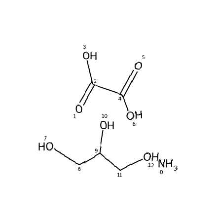 N.O=C(O)C(=O)O.OCC(O)CO